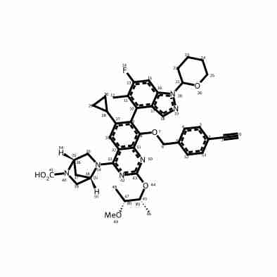 C#Cc1ccc(COc2c(-c3c(C)c(F)cc4c3cnn4C3CCCCO3)c(C3CC3)cc3c(N4C[C@@H]5C[C@H]4CN5C(=O)O)nc(O[C@H](C)[C@@H](C)OC)nc23)cc1